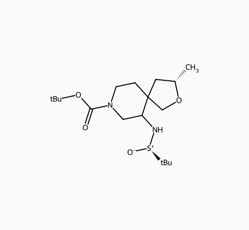 C[C@H]1CC2(CCN(C(=O)OC(C)(C)C)CC2N[S@+]([O-])C(C)(C)C)CO1